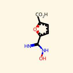 N=C(NO)c1ccc(C(=O)O)o1